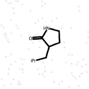 CC(C)CC1CCNC1=O